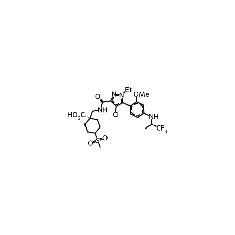 CCn1nc(C(=O)NC[C@]2(C(=O)O)CC[C@H](S(C)(=O)=O)CC2)c(Cl)c1-c1ccc(N[C@H](C)C(F)(F)F)cc1OC